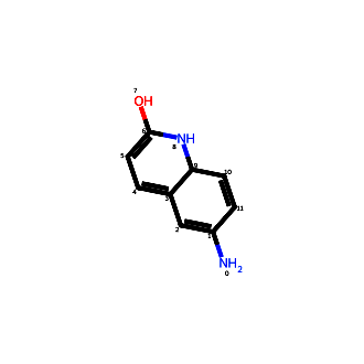 NC1=CC2=CC=C(O)NC2C=C1